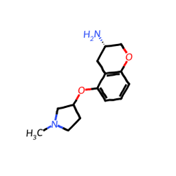 CN1CCC(Oc2cccc3c2C[C@H](N)CO3)C1